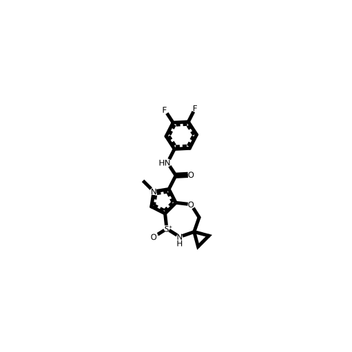 Cn1cc2c(c1C(=O)Nc1ccc(F)c(F)c1)OCC1(CC1)N[S+]2[O-]